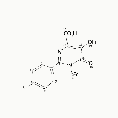 CCCn1c(-c2ccc(C)cc2)nc(C(=O)O)c(O)c1=O